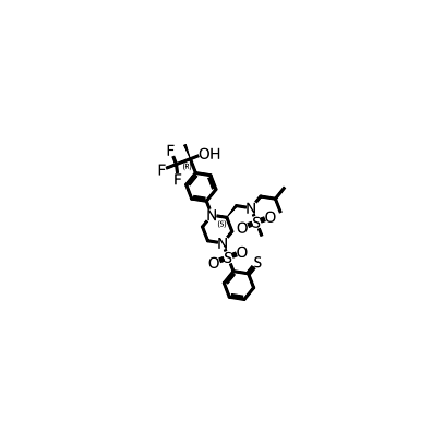 CC(C)CN(C[C@H]1CN(S(=O)(=O)C2=CC=CCC2=S)CCN1c1ccc([C@@](C)(O)C(F)(F)F)cc1)S(C)(=O)=O